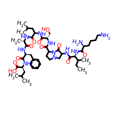 CCC(C)[C@H](NC(=O)[C@@H](N)CCCCN)C(=O)NC1CN2CCC(C(=O)N[C@@H](CO)C(=O)NC(CC(C)C)C(=O)N[C@@H](C)C(=O)N[C@@H](Cc3ccccc3)C(=O)N[C@@H](CC(C)C)C(=O)O)N2C1=O